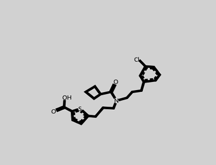 O=C(O)c1ccc(CCCN(CCCc2cccc(Cl)c2)C(=O)C2CCC2)s1